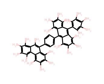 Bc1c(B)c(B)c(-c2c3c(B)c(B)c(B)c(B)c3c(-c3ccc(-c4c(B)c5c(B)c(B)c(B)c(B)c5c5c(B)c(B)c(B)c(B)c45)cc3)c3c(B)c(B)c(B)c(B)c23)c(B)c1B